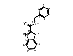 O=C(NCc1cc[c]cc1)c1nc2ccccc2s1